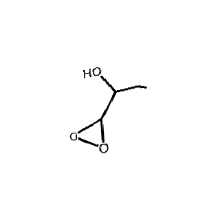 CC(O)C1OO1